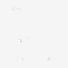 CCCCCCCCCCCCCCCCN(C(=O)CCO)C(=O)CCCCCCCCCCCCCCC